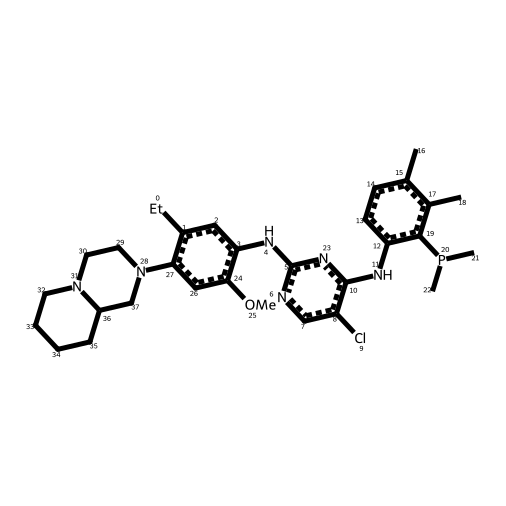 CCc1cc(Nc2ncc(Cl)c(Nc3ccc(C)c(C)c3P(C)C)n2)c(OC)cc1N1CCN2CCCCC2C1